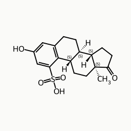 C[C@]12CC[C@@H]3c4c(cc(O)cc4S(=O)(=O)O)CC[C@H]3[C@@H]1CCC2=O